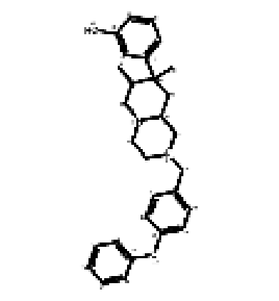 CC1CN2CCN(Cc3ccc(Oc4ccccc4)cc3)CC2CC1(C)c1cccc(O)c1